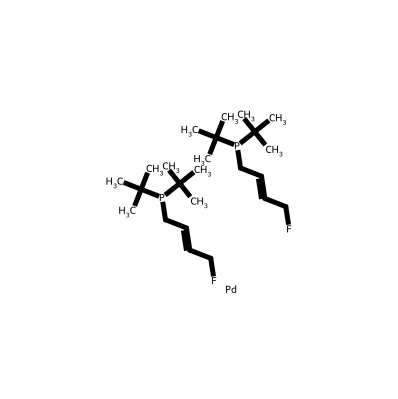 CC(C)(C)P(CC=CCF)C(C)(C)C.CC(C)(C)P(CC=CCF)C(C)(C)C.[Pd]